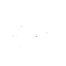 Cc1cn([C@H]2C[C@@]3(O[Si](C)(C)C)C[C@]4(F)C[C@]4(O[Si](C)(C)C(C)(C)C)[C@H]3O2)c(=O)[nH]c1=O